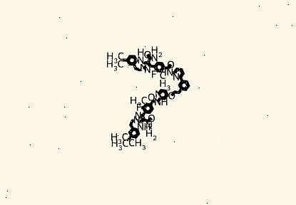 Cc1c(C(=O)Nc2cc(OCCc3cccc(-c4cccc(NC(=O)c5ccc(-c6nn7c(c6C(N)=O)Nc6ccc(C(C)C)cc6CC7)c(F)c5C)n4)c3)ccn2)ccc(-c2nn3c(c2C(N)=O)Nc2ccc(C(C)(C)C)cc2CC3)c1F